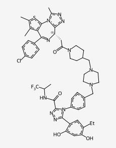 CCc1cc(-c2nnc(C(=O)NC(C)C(F)(F)F)n2-c2ccc(CN3CCN(CC4CCN(C(=O)C[C@@H]5N=C(c6ccc(Cl)cc6)c6c(sc(C)c6C)-n6c(C)nnc65)CC4)CC3)cc2)c(O)cc1O